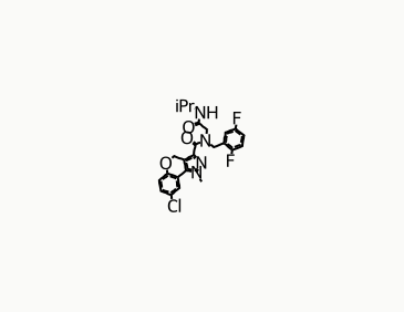 CC(C)NC(=O)CN(Cc1cc(F)ccc1F)C(=O)c1nn(C)c2c1COc1ccc(Cl)cc1-2